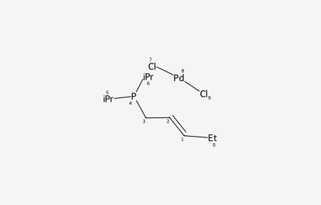 CCC=CCP(C(C)C)C(C)C.[Cl][Pd][Cl]